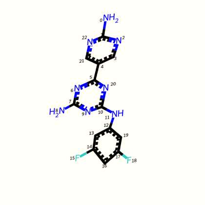 Nc1ncc(-c2nc(N)nc(Nc3cc(F)cc(F)c3)n2)cn1